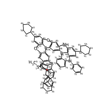 CSN1c2cc3c(cc2B2c4ccccc4N(c4ccccc4)c4cc(C5CCCCC5)cc1c42)B1c2cc4c(cc2Oc2cc(C5CCCCC5)cc(c21)O3)Nc1cc(C2CCCCC2)cc2c1B4c1ccccc1N2c1ccccc1